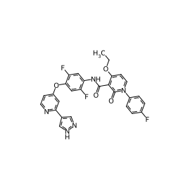 CCOc1ccn(-c2ccc(F)cc2)c(=O)c1C(=O)Nc1cc(F)c(Oc2ccnc(-c3cn[nH]c3)c2)cc1F